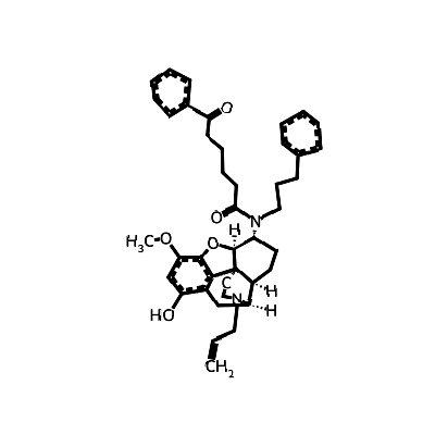 C=CCN1CC[C@]23c4c5c(O)cc(OC)c4O[C@H]2[C@H](N(CCCc2ccccc2)C(=O)CCCCC(=O)c2ccccc2)CC[C@H]3[C@H]1C5